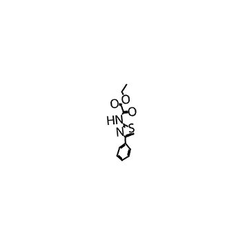 CCOC(=O)C(=O)Nc1nc(-c2ccccc2)cs1